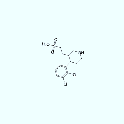 CS(=O)(=O)CCC1CNCCC1c1cccc(Cl)c1Cl